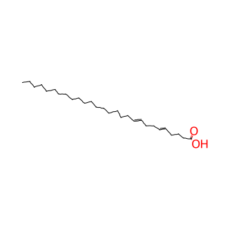 CCCCCCCCCCCCCCCCCCC=CCCC=CCCCC(=O)O